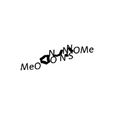 COc1ccc2nc(-c3cn4nc(OC)sc4n3)oc2c1